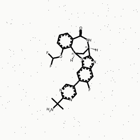 CC(C)(N)c1ncc(-c2cc3c(cc2F)nc2n3[C@@H]3C[C@H]2NC(=O)c2cccc(OC(F)F)c23)cn1